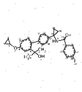 CC(C)(O)c1cc(OC2CC2)ncc1-c1ccc(C2(NC(=O)c3ccc(F)cc3)CC2)cc1